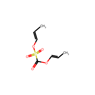 CC=COC(=O)S(=O)(=O)OC=CC